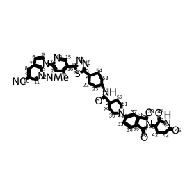 CNc1cc(-n2ccc3cc(C#N)cnc32)ncc1-c1nnc(C2CCC(NC(=O)C3CCN(c4ccc5c(c4)C(=O)N(C4CCC(=O)NC4=O)C5=O)CC3)CC2)s1